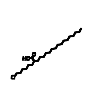 CCCCCCCCCCCCCCCCC(CCCCCCCl)C(=O)O